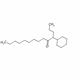 CCCCCCCCCC(=O)C(CCC)C1CCCCC1